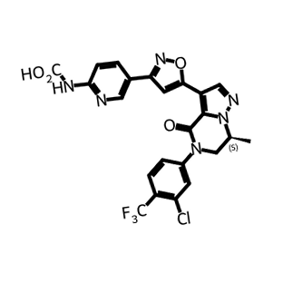 C[C@H]1CN(c2ccc(C(F)(F)F)c(Cl)c2)C(=O)c2c(-c3cc(-c4ccc(NC(=O)O)nc4)no3)cnn21